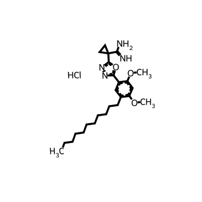 CCCCCCCCCCCc1cc(-c2nnc(C3(C(=N)N)CC3)o2)c(OC)cc1OC.Cl